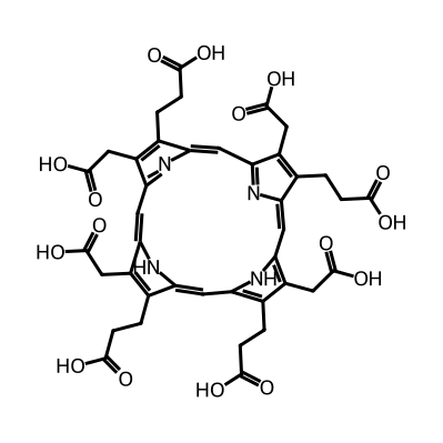 O=C(O)CCC1=C(CC(=O)O)c2cc3nc(cc4[nH]c(cc5[nH]c(cc1n2)c(CC(=O)O)c5CCC(=O)O)c(CCC(=O)O)c4CC(=O)O)C(CC(=O)O)=C3CCC(=O)O